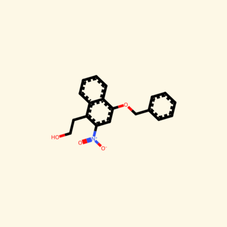 O=[N+]([O-])c1cc(OCc2ccccc2)c2ccccc2c1CCO